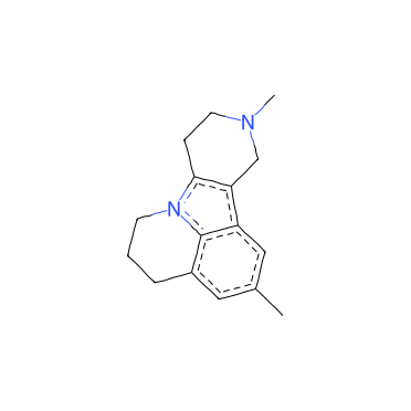 Cc1cc2c3c(c1)c1c(n3CCC2)CCN(C)C1